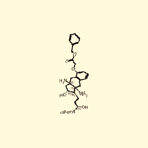 CCCCC[C@H](O)CC[C@H]1[C@H](O)C[C@]2(N)Cc3c(cccc3OCC(=O)OCc3ccccc3)C[C@]12N